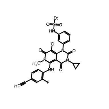 C#Cc1ccc(Nc2c3c(=O)n(C4CC4)c(=O)n(-c4cccc(NS(=O)(=O)CC)c4)c3c(Cl)c(=O)n2C)c(F)c1